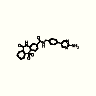 Nc1ncc(-c2ccc(CNC(=O)c3ccc4c(c3)NC(=O)c3ccccc3S4(=O)=O)cc2)cn1